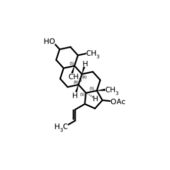 CC=CC1CC(OC(C)=O)[C@@]2(C)CC[C@@H]3[C@@H](CCC4CC(O)CC(C)[C@@]43C)[C@H]12